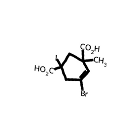 CC1(C(=O)O)C=C(Br)CC(I)(C(=O)O)C1